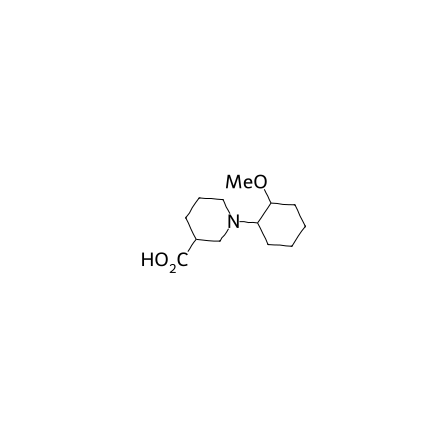 COC1CCCCC1N1CCCC(C(=O)O)C1